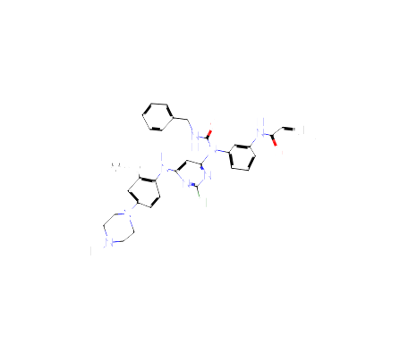 C=CC(=O)Nc1cccc(N(C(=O)NCc2ccccc2)c2cc(Nc3ccc(N4CCN(CC)CC4)cc3OC)nc(Cl)n2)c1